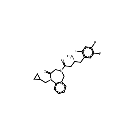 N[C@@H](CC(=O)N1CC(=O)N(CC2CC2)c2ccccc2C1)Cc1cc(F)c(F)cc1F